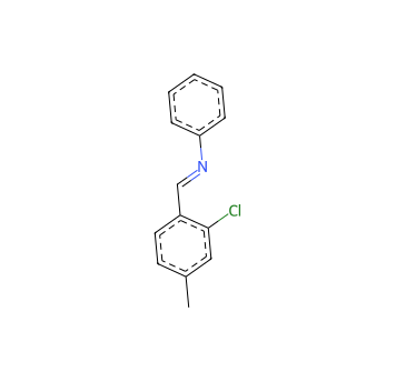 Cc1ccc(/C=N/c2ccccc2)c(Cl)c1